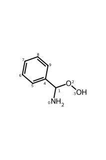 NC(OO)c1ccccc1